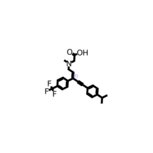 CC(C)c1ccc(C#C/C(=C/CN(C)CC(=O)O)c2ccc(C(F)(F)F)cc2)cc1